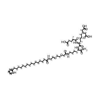 C[C@@H](CCC(=O)O)C(=O)N[C@@H](CCCCN(CC(=O)O)CC(=O)O)C(=O)N[C@@H](CCCCNC(=O)COCCOCCNC(=O)CCCCCCCCCCCCCCCc1nnn[nH]1)C(N)=O